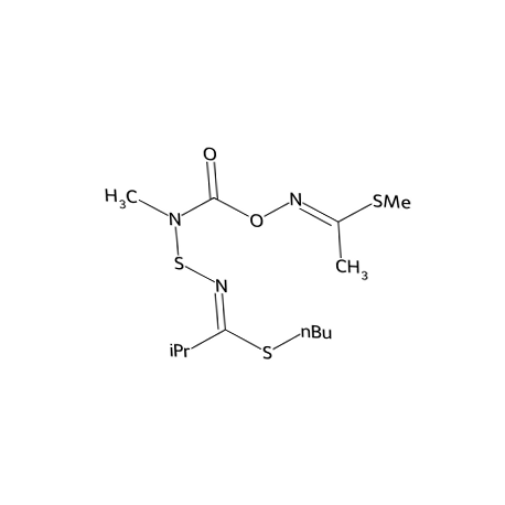 CCCCSC(=NSN(C)C(=O)ON=C(C)SC)C(C)C